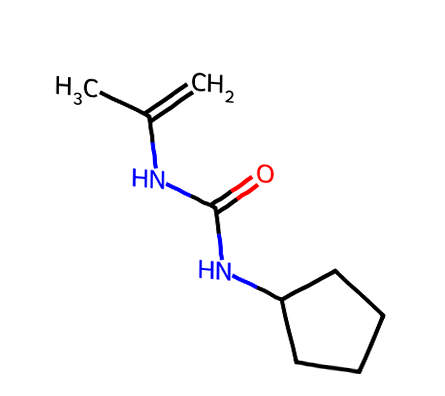 C=C(C)NC(=O)NC1CCCC1